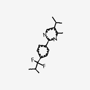 Cc1nc(-c2ccc(C(F)(F)C(C)C)cc2)ncc1C(C)C